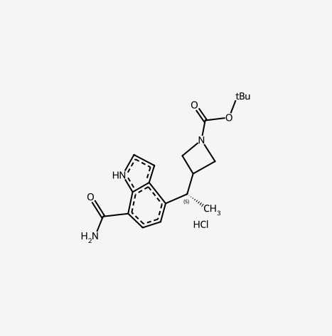 C[C@H](c1ccc(C(N)=O)c2[nH]ccc12)C1CN(C(=O)OC(C)(C)C)C1.Cl